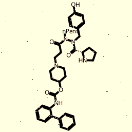 CCCCCN(C(=O)CCN1CCC(OC(=O)Nc2ccccc2-c2ccccc2)CC1)N(Cc1ccc(O)cc1)C(=O)[C@@H]1CCCN1